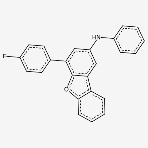 Fc1ccc(-c2cc(Nc3ccccc3)cc3c2oc2ccccc23)cc1